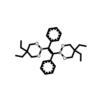 CCC1(CC)COB(C(=C(B2OCC(CC)(CC)CO2)c2ccccc2)c2ccccc2)OC1